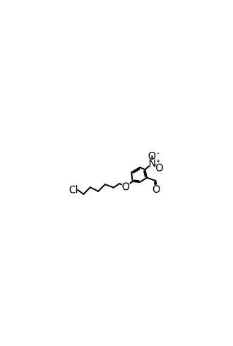 O=Cc1cc(OCCCCCCCl)ccc1[N+](=O)[O-]